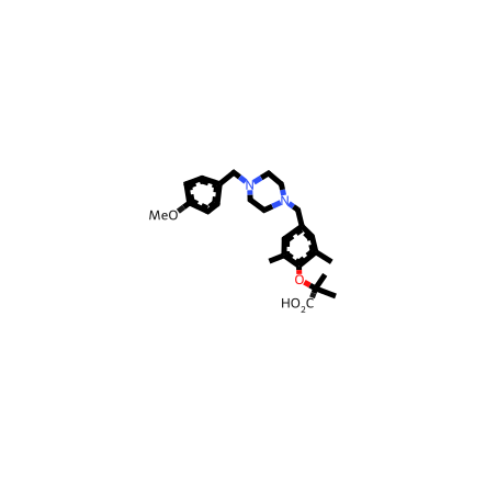 COc1ccc(CN2CCN(Cc3cc(C)c(OC(C)(C)C(=O)O)c(C)c3)CC2)cc1